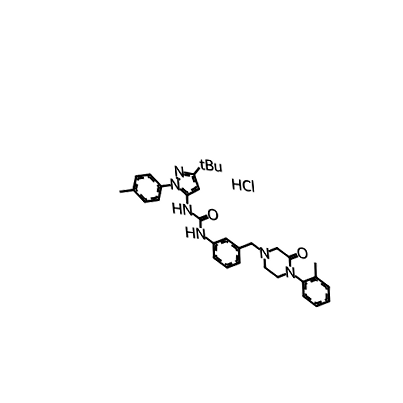 Cc1ccc(-n2nc(C(C)(C)C)cc2NC(=O)Nc2cccc(CN3CCN(c4ccccc4C)C(=O)C3)c2)cc1.Cl